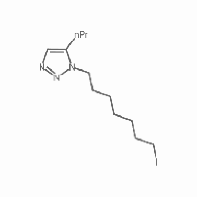 CCCc1cnnn1CCCCCCCI